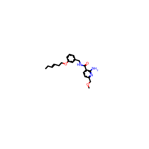 CCC=CCCOc1cccc(CNC(=O)c2ccc(COC)nc2N)c1